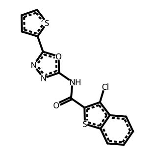 O=C(Nc1nnc(-c2cccs2)o1)c1sc2ccccc2c1Cl